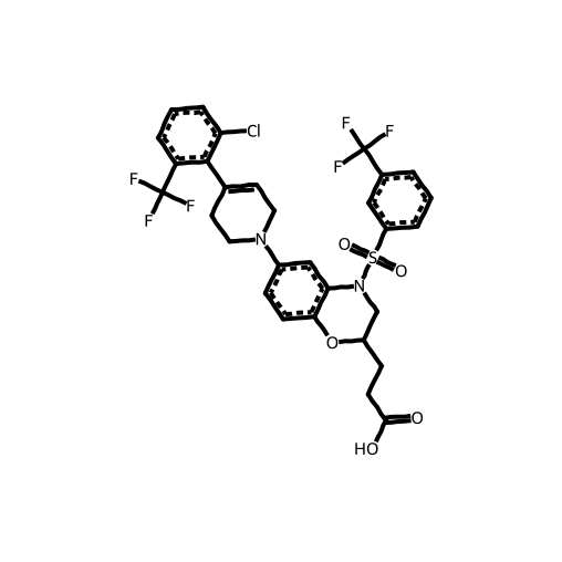 O=C(O)CCC1CN(S(=O)(=O)c2cccc(C(F)(F)F)c2)c2cc(N3CC=C(c4c(Cl)cccc4C(F)(F)F)CC3)ccc2O1